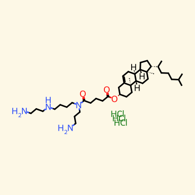 CC(C)CCCC(C)[C@H]1CC[C@H]2[C@@H]3CC=C4C[C@@H](OC(=O)CCCC(=O)N(CCCN)CCCCNCCCN)CC[C@]4(C)[C@H]3CC[C@]12C.Cl.Cl.Cl